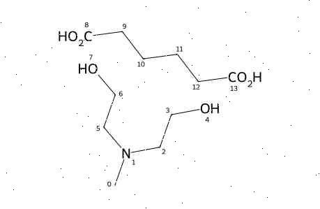 CN(CCO)CCO.O=C(O)CCCCC(=O)O